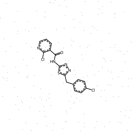 O=C(Nc1nnc(Cc2ccc(Cl)cc2)s1)c1cccnc1Cl